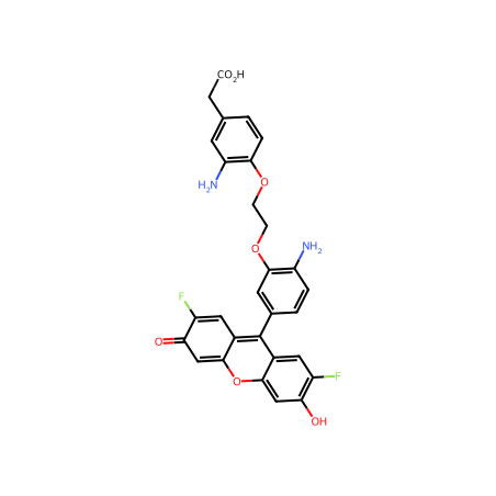 Nc1cc(CC(=O)O)ccc1OCCOc1cc(-c2c3cc(F)c(=O)cc-3oc3cc(O)c(F)cc23)ccc1N